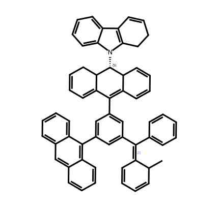 CC1C=CC=C/C1=C(/c1ccccc1)c1cc(C2=C3C=CC=CC3[C@@H](n3c4c(c5ccccc53)C=CCC4)C3CC=CC=C23)cc(-c2c3ccccc3cc3ccccc23)c1